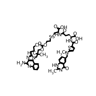 CCCCc1nc2c(N)nc3ccccc3c2n1CC(C)(C)COC(=O)OCCSSCC(NC(=O)CC[C@H](NC(=O)c1ccc(N(C)Cc2ccc3[nH]c(C)nc(=O)c3c2)s1)C(=O)O)C(=O)O